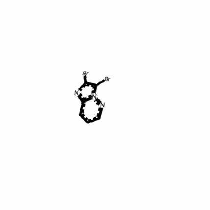 Brc1nc2cccnn2c1Br